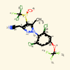 Cc1c([S+]([O-])C(F)(Cl)Cl)c(C#N)nn1-c1c(Cl)cc(OC(F)(F)F)cc1Cl